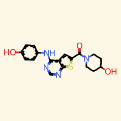 O=C(c1cc2c(Nc3ccc(O)cc3)ncnc2s1)N1CCC(O)CC1